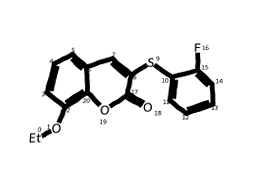 CCOc1cccc2cc(Sc3ccccc3F)c(=O)oc12